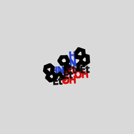 CCC(O)(CC)[C@@H](NC(=O)C1(C(=O)N[C@@H](c2cccc3ccccc23)C(O)(CC)CC)CCCCC1)c1cccc2ccccc12